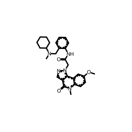 COc1ccc2c(c1)c1c(cnn1CC(=O)Nc1ccccc1CN(C)C1CCCCC1)c(=O)n2C